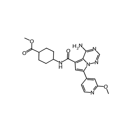 COC(=O)C1CCC(NC(=O)c2cc(-c3ccnc(OC)c3)n3ncnc(N)c23)CC1